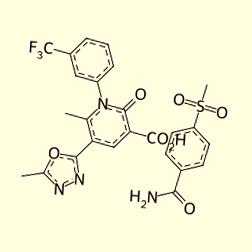 CS(=O)(=O)c1ccc(C(N)=O)cc1.Cc1nnc(-c2cc(C(=O)O)c(=O)n(-c3cccc(C(F)(F)F)c3)c2C)o1